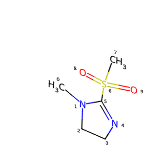 CN1CCN=C1S(C)(=O)=O